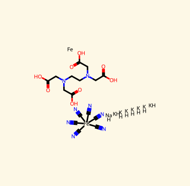 N#[C][Fe]([C]#N)([C]#N)([C]#N)([C]#N)[C]#N.O=C(O)CN(CCN(CC(=O)O)CC(=O)O)CC(=O)O.[Fe].[KH].[KH].[KH].[KH].[KH].[KH].[KH].[NaH]